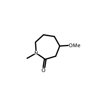 COC1CCCN(C)C(=O)C1